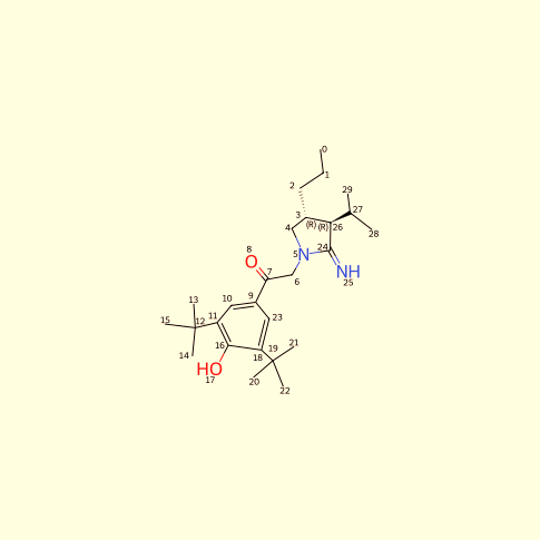 CCC[C@H]1CN(CC(=O)c2cc(C(C)(C)C)c(O)c(C(C)(C)C)c2)C(=N)[C@@H]1C(C)C